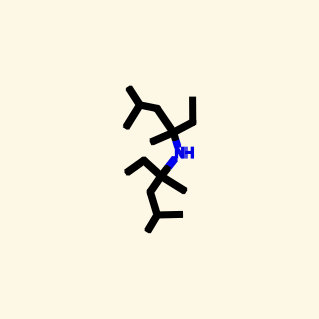 CCC(C)(CC(C)C)NC(C)(CC)CC(C)C